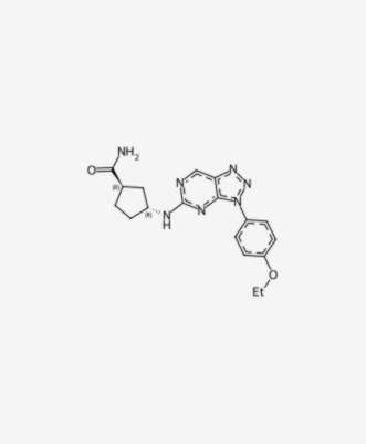 CCOc1ccc(-n2nnc3cnc(N[C@@H]4CC[C@@H](C(N)=O)C4)nc32)cc1